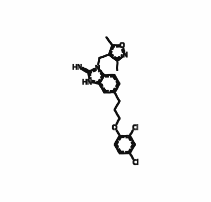 Cc1noc(C)c1Cn1c(=N)[nH]c2cc(CCCOc3ccc(Cl)cc3Cl)ccc21